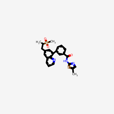 Cc1cnc(NC(=O)c2cccc(-c3cc(CC(C)S(C)(=O)=O)cc4cccnc34)c2)s1